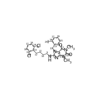 Cn1c(=O)c2c(nc(NCCCCc3c(Cl)cccc3Cl)n2Cc2ccccc2I)n(C)c1=O